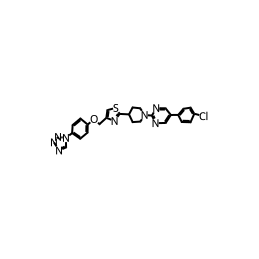 Clc1ccc(-c2cnc(N3CCC(c4nc(COc5ccc(-n6cnnn6)cc5)cs4)CC3)nc2)cc1